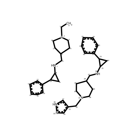 CCN1CCC(CNC2CC2c2ccccc2)CC1.c1ccc(C2CC2NCC2CCN(Cc3cn[nH]c3)CC2)cc1